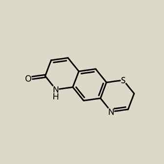 O=c1ccc2cc3c(cc2[nH]1)N=CCS3